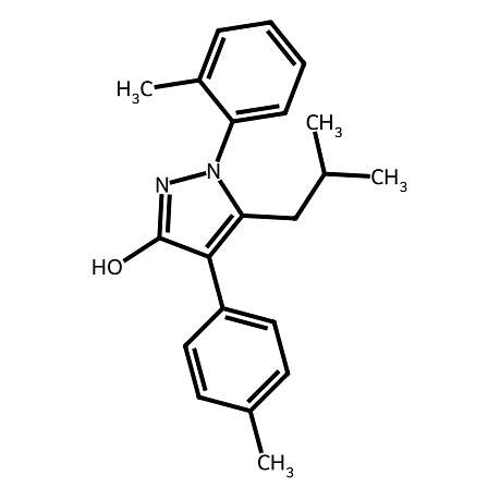 Cc1ccc(-c2c(O)nn(-c3ccccc3C)c2CC(C)C)cc1